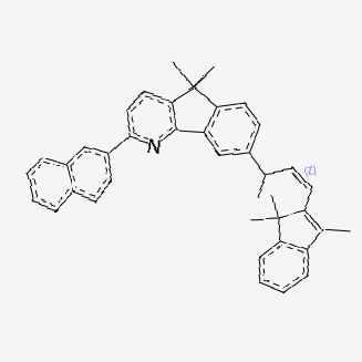 CC1=C(/C=C\C(C)c2ccc3c(c2)-c2nc(-c4ccc5ccccc5c4)ccc2C3(C)C)C(C)(C)c2ccccc21